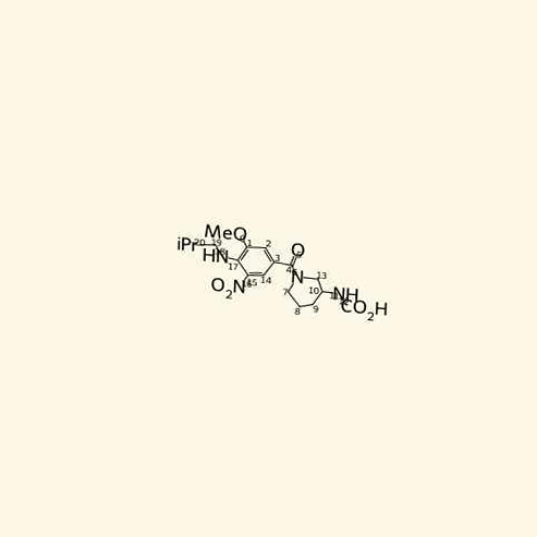 COc1cc(C(=O)N2CCCC(NC(=O)O)C2)cc([N+](=O)[O-])c1NCC(C)C